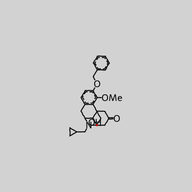 COc1c(OCc2ccccc2)ccc2c1C13CCN(CC4CC4)C(C2)C1(O)CCC(=O)C3